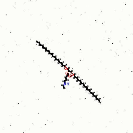 CCCCCCCCC=CCCCCCCCCOCC(COCCCCCCCCC=CCCCCCCCC)OC(=O)CCCNCC